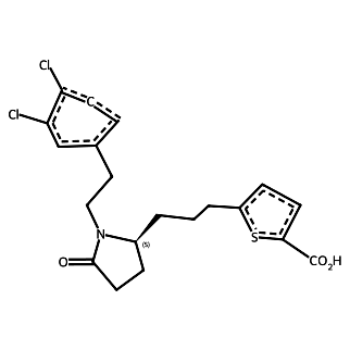 O=C(O)c1ccc(CCC[C@H]2CCC(=O)N2CCc2ccc(Cl)c(Cl)c2)s1